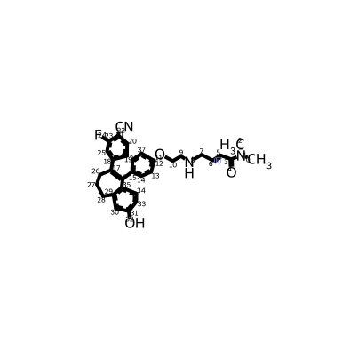 CN(C)C(=O)/C=C/CNCCOc1ccc(C2=C(c3ccc(C#N)c(F)c3)CCCc3cc(O)ccc32)cc1